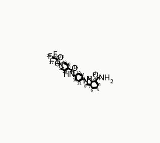 NC(=O)c1cccc2cn(-c3ccc(NC(=O)c4cc[n+](OC(=O)C(F)(F)F)cc4)cc3)nc12